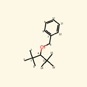 CC(C)(C)C(OCc1ccccc1)C(C)(C)C